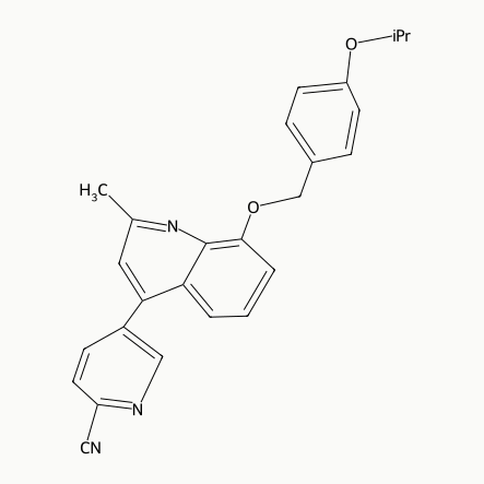 Cc1cc(-c2ccc(C#N)nc2)c2cccc(OCc3ccc(OC(C)C)cc3)c2n1